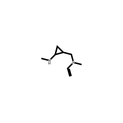 C=CN(C)CC1CC1NC